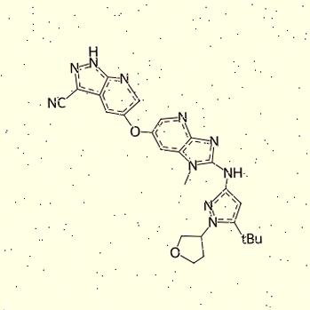 Cn1c(Nc2cc(C(C)(C)C)n(C3CCOC3)n2)nc2ncc(Oc3cnc4[nH]nc(C#N)c4c3)cc21